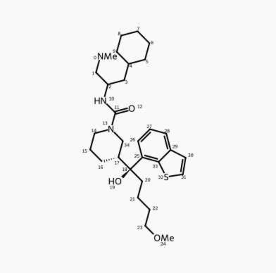 CNCC(CC1CCCCC1)NC(=O)N1CCC[C@@H]([C@@](O)(CCCCOC)c2cccc3ccsc23)C1